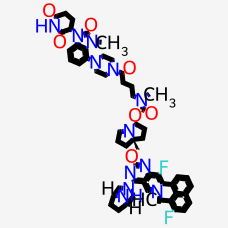 C#Cc1c(F)ccc2cccc(-c3ncc4c(N5C[C@H]6CC[C@@H](C5)N6)nc(OC[C@@]56CCCN5[C@@H](OC(=O)N(C)CCCC(=O)N5CCN(c7cccc8c7n(C)c(=O)n8C7CCC(=O)NC7=O)CC5)CC6)nc4c3F)c12